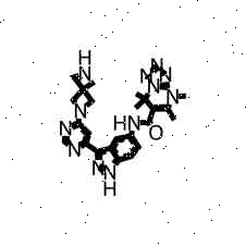 CC1=C(C(=O)Nc2ccc3[nH]nc(-c4cc(N5CC6(CNC6)C5)ncn4)c3c2)C(C)(C)n2nnnc2N1C